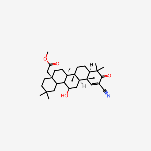 COC(=O)C[C@]12CCC(C)(C)CC1C1[C@H](O)C[C@@H]3[C@@]4(C)C=C(C#N)C(=O)C(C)(C)[C@@H]4CC[C@@]3(C)[C@]1(C)CC2